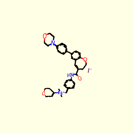 C[N+](C)(Cc1ccc(NC(=O)C2=Cc3cc(-c4ccc(N5CCOCC5)cc4)ccc3OCC2)cc1)C1CCOCC1.[I-]